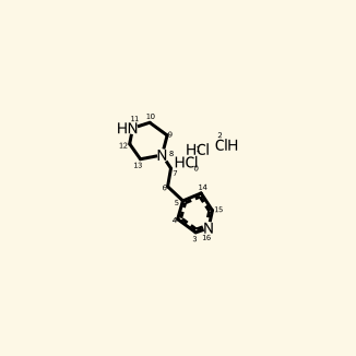 Cl.Cl.Cl.c1cc(CCN2CCNCC2)ccn1